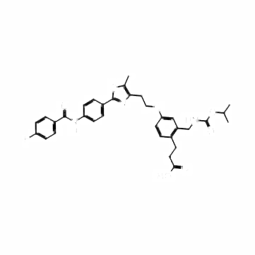 Cc1oc(-c2ccc(NC(=O)c3ccc(F)cc3)cc2)nc1CCOc1ccc(CCC(=O)O)c(CNC(=O)OC(C)C)c1